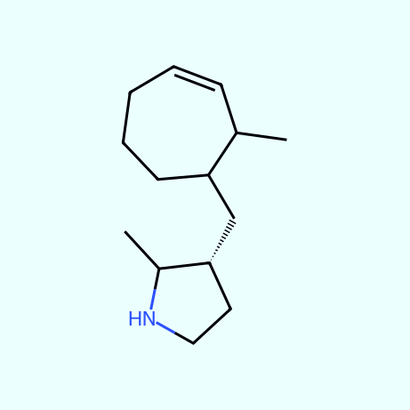 CC1C=CCCCC1C[C@@H]1CCNC1C